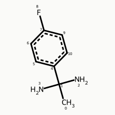 CC(N)(N)c1ccc(F)cc1